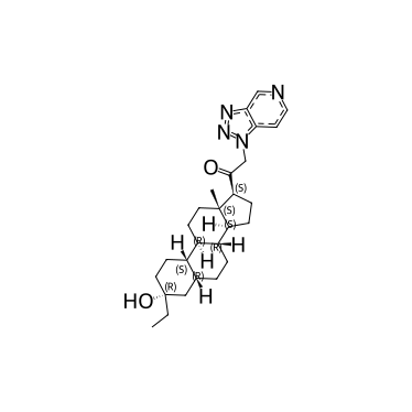 CC[C@@]1(O)CC[C@H]2[C@H](CC[C@@H]3[C@@H]2CC[C@]2(C)[C@@H](C(=O)Cn4nnc5cnccc54)CC[C@@H]32)C1